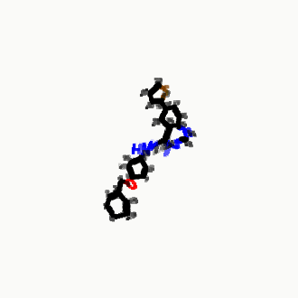 c1ccc(COc2ccc(Nc3ncnc4ccc(-c5cccs5)cc34)cc2)cc1